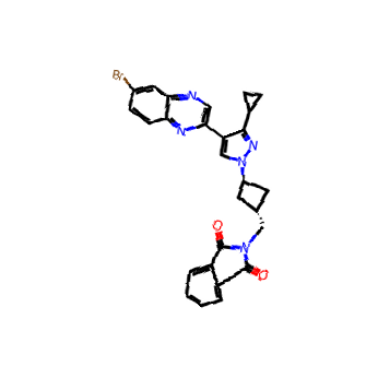 O=C1c2ccccc2C(=O)N1C[C@H]1C[C@H](n2cc(-c3cnc4cc(Br)ccc4n3)c(C3CC3)n2)C1